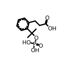 CC(C)(OP(=O)(O)O)c1ccccc1CCC(=O)O